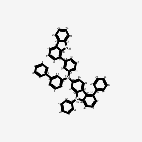 c1ccc(-c2cccc(N(c3cccc(-c4cccc5c4sc4ccccc45)c3)c3ccc4c5c(-c6ccccc6)cccc5n(-c5ccccc5)c4c3)c2)cc1